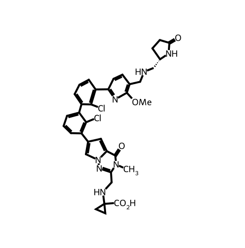 COc1nc(-c2cccc(-c3cccc(-c4cc5c(=O)n(C)c(CNC6(C(=O)O)CC6)nn5c4)c3Cl)c2Cl)ccc1CNC[C@@H]1CCC(=O)N1